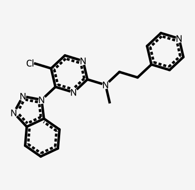 CN(CCc1ccncc1)c1ncc(Cl)c(-n2nnc3ccccc32)n1